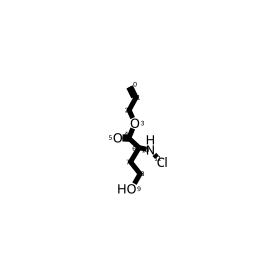 C=CCOC(=O)C(CCO)NCl